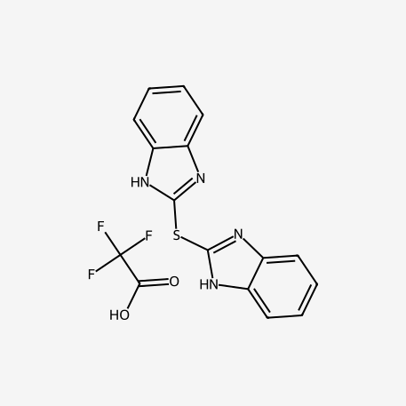 O=C(O)C(F)(F)F.c1ccc2[nH]c(Sc3nc4ccccc4[nH]3)nc2c1